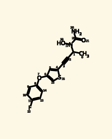 CC(C#Cc1cc(Oc2ccc(F)cc2)cs1)N(O)C(N)=O